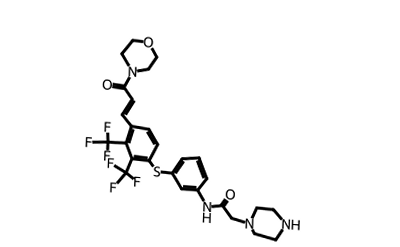 O=C(CN1CCNCC1)Nc1cccc(Sc2ccc(C=CC(=O)N3CCOCC3)c(C(F)(F)F)c2C(F)(F)F)c1